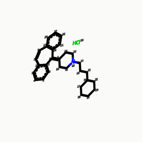 C1=Cc2ccccc2C(=C2CCN(CCCC3CCCCC3)CC2)c2ccccc21.Cl